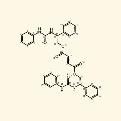 O=C(Nc1ccccc1)N[C@@H](COC(=O)/C=C/C(=O)OC[C@H](NC(=O)Nc1ccccc1)c1ccccc1)c1ccccc1